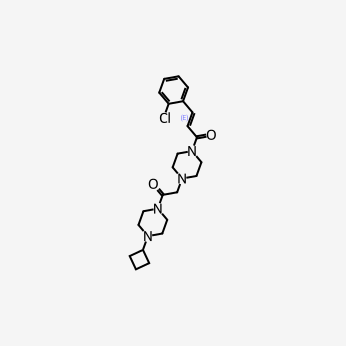 O=C(/C=C/c1ccccc1Cl)N1CCN(CC(=O)N2CCN(C3CCC3)CC2)CC1